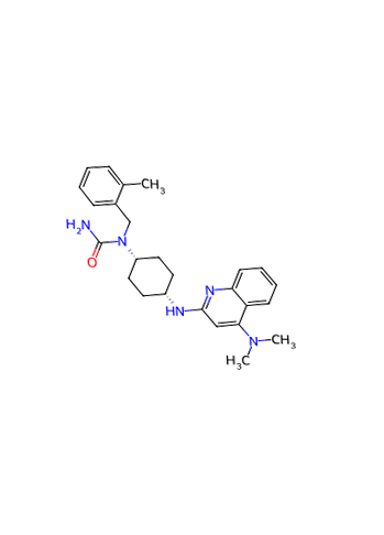 Cc1ccccc1CN(C(N)=O)[C@H]1CC[C@@H](Nc2cc(N(C)C)c3ccccc3n2)CC1